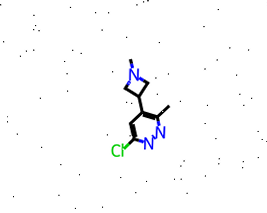 Cc1nnc(Cl)cc1C1CN(C)C1